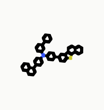 c1ccc(-c2cccc(N(c3ccc(-c4ccc5sc6c7ccccc7ccc6c5c4)cc3)c3ccc(-c4cccc5ccccc45)cc3)c2)cc1